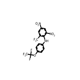 O=[N+]([O-])c1cc([N+](=O)[O-])c(Nc2ccc(OC(F)(F)C(F)(F)F)cc2)c(C(F)(F)F)c1